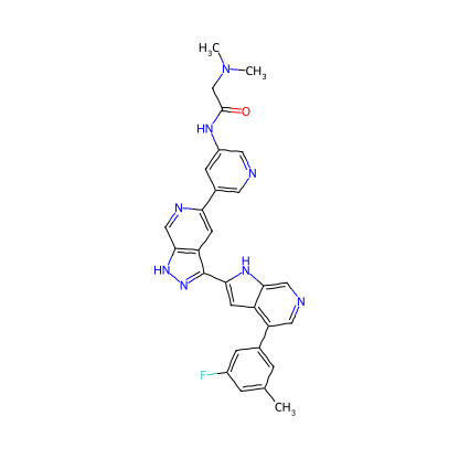 Cc1cc(F)cc(-c2cncc3[nH]c(-c4n[nH]c5cnc(-c6cncc(NC(=O)CN(C)C)c6)cc45)cc23)c1